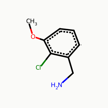 COc1cc[c]c(CN)c1Cl